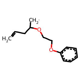 [CH2]C(CC=C)OCCOc1ccccc1